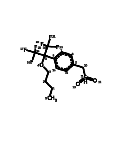 CCCCOC(c1ccc(C[SH](=O)=O)cc1)(C(F)(F)F)C(F)(F)F